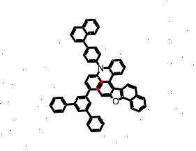 c1ccc(-c2cc(-c3ccccc3)cc(-c3ccc(N(c4ccc(-c5cccc6ccccc56)cc4)c4ccccc4-c4cccc5oc6c7ccccc7ccc6c45)cc3)c2)cc1